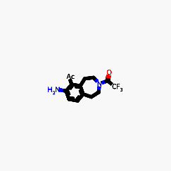 CC(=O)c1c(N)ccc2c1CCN(C(=O)C(F)(F)F)CC2